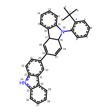 CC(C)(C)c1ccccc1N1c2ccccc2C2C=C(c3ccc4[nH]c5ccccc5c4c3)C=CC21